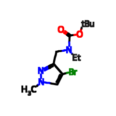 CCN(Cc1nn(C)cc1Br)C(=O)OC(C)(C)C